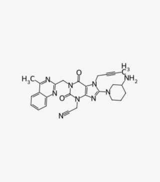 CC#CCn1c(N2CCCC(N)C2)nc2c1c(=O)n(Cc1nc(C)c3ccccc3n1)c(=O)n2CC#N